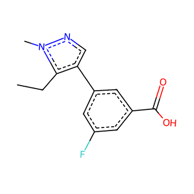 CCc1c(-c2cc(F)cc(C(=O)O)c2)cnn1C